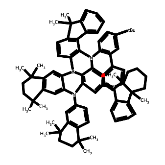 CC(C)(C)c1ccc(N2c3cc(N4c5ccccc5C5(C)CCCCC45C)cc4c3B(c3cc5c(cc3N4c3ccc4c(c3)C(C)(C)CCC4(C)C)C(C)(C)CCC5(C)C)c3ccc4c(c32)-c2ccccc2C4(C)C)c(-c2ccccc2)c1